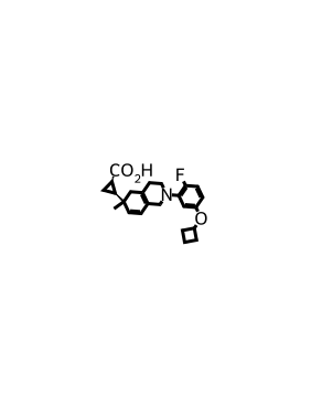 CC1([C@H]2C[C@@H]2C(=O)O)C=CC2=C(CCN(c3cc(OC4CCC4)ccc3F)C2)C1